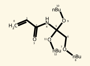 C=CC(=O)NC(COCCCC)(OCCCC)OCCCC